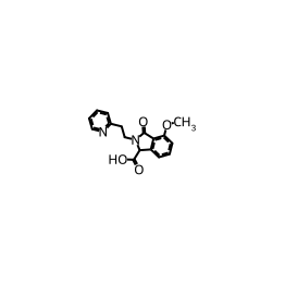 COc1cccc2c1C(=O)N(CCc1ccccn1)C2C(=O)O